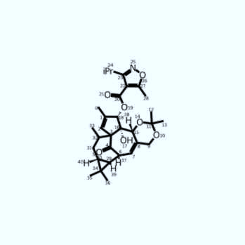 CC1=CC23C(=O)[C@@H](C=C4COC(C)(C)O[C@H]4[C@]2(O)[C@H]1OC(=O)c1c(C(C)C)noc1C)[C@H]1[C@@H](CC3C)C1(C)C